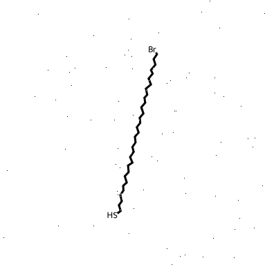 SCCCCCCCCCCCCCCCCCCCCCCCCCCCCCCCCCBr